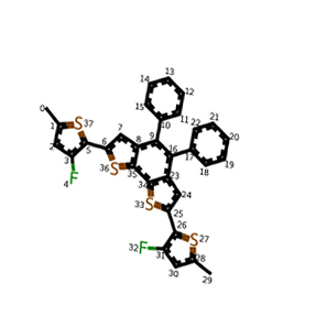 Cc1cc(F)c(-c2cc3c(-c4ccccc4)c(-c4ccccc4)c4cc(-c5sc(C)cc5F)sc4c3s2)s1